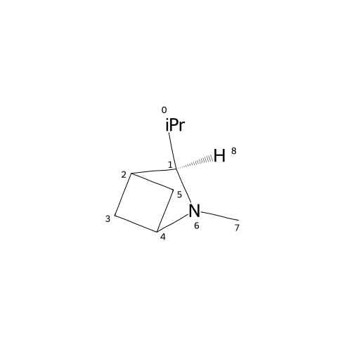 CC(C)[C@@H]1C2CC(C2)N1C